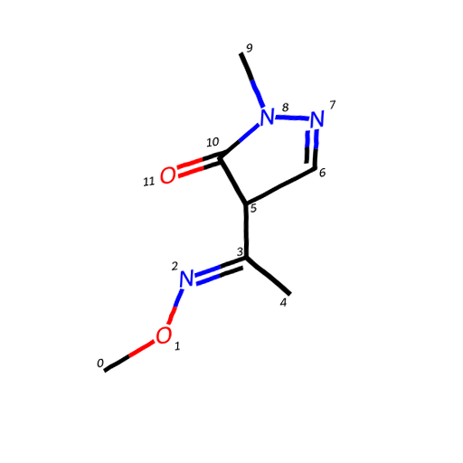 CO/N=C(\C)C1C=NN(C)C1=O